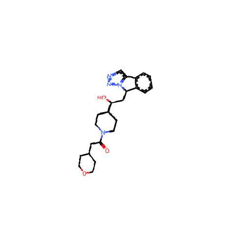 O=C(CC1CCOCC1)N1CCC(C(O)CC2c3ccccc3-c3cnnn32)CC1